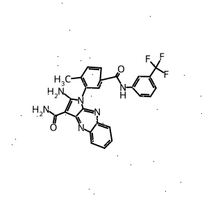 Cc1ccc(C(=O)Nc2cccc(C(F)(F)F)c2)cc1-n1c(N)c(C(N)=O)c2nc3ccccc3nc21